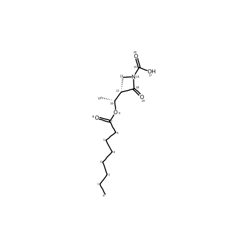 CCCCCCCC(=O)O[C@H](C)[C@@H]1[CH]N(C(=O)O)C1=O